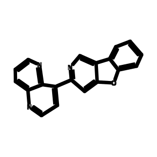 c1cnc2c(-c3cc4oc5ccccc5c4cn3)ccnc2c1